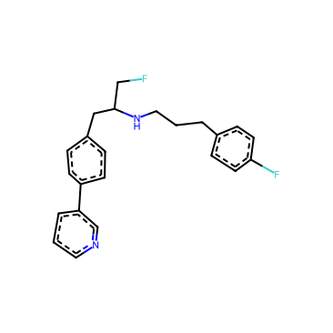 FCC(Cc1ccc(-c2cccnc2)cc1)NCCCc1ccc(F)cc1